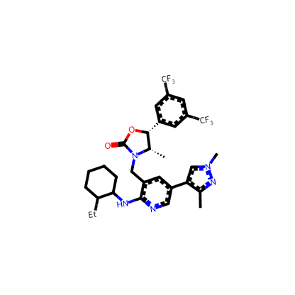 CCC1CCCCC1Nc1ncc(-c2cn(C)nc2C)cc1CN1C(=O)O[C@H](c2cc(C(F)(F)F)cc(C(F)(F)F)c2)[C@@H]1C